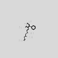 Cc1cc(-c2ccccc2)c(C=CC(O)CC(O)CC(=O)O)c(C)n1